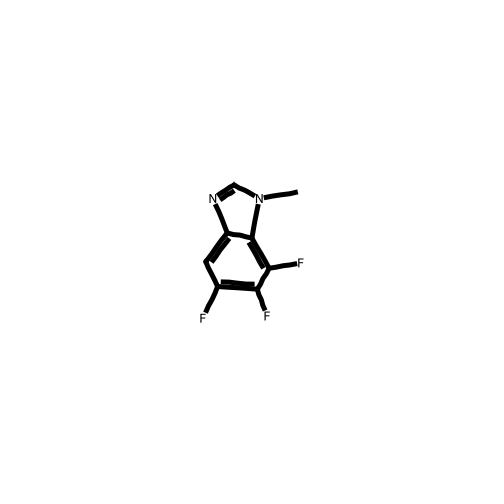 Cn1[c]nc2cc(F)c(F)c(F)c21